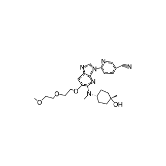 COCCOCCOc1cc2ncn(-c3ccc(C#N)cn3)c2nc1N(C)[C@H]1CC[C@@](C)(O)CC1